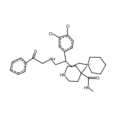 CNC(=O)C1([N+]2(CCC(CNCC(=O)c3ccccc3)c3ccc(Cl)c(Cl)c3)CCCCC2)CCNCC1